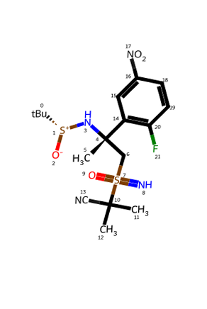 CC(C)(C)[S@@+]([O-])N[C@@](C)(CS(=N)(=O)C(C)(C)C#N)c1cc([N+](=O)[O-])ccc1F